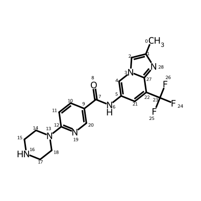 Cc1cn2cc(NC(=O)c3ccc(N4CCNCC4)nc3)cc(C(F)(F)F)c2n1